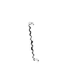 [CH2]CCCC=CCC=CCCCCCCCC